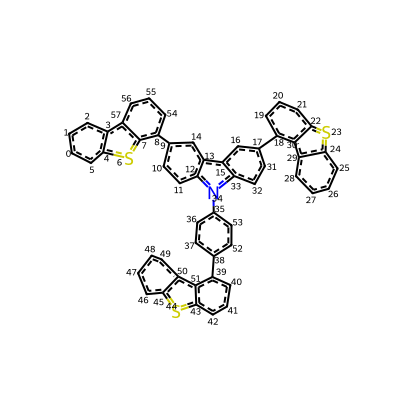 c1ccc2c(c1)sc1c(-c3ccc4c(c3)c3cc(-c5cccc6sc7ccccc7c56)ccc3n4-c3ccc(-c4cccc5sc6ccccc6c45)cc3)cccc12